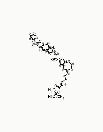 CC(C)(C)OC(=O)NCCCCN1CCCn2nc(C(=O)Nc3nc4ccc(NS(=O)(=O)c5cccs5)cc4s3)cc2C1